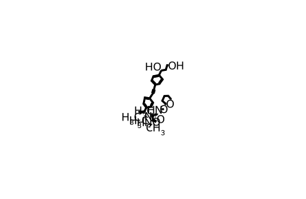 CC=C(c1ccc(C#Cc2ccc(C(O)CCO)cc2)cc1)N(C)[C@@](C)(C(=O)NC)C(=O)NOC1CCCCO1